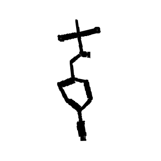 CS(=O)(=O)NCc1ccc(C#N)cc1